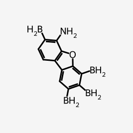 Bc1cc2c(oc3c(N)c(B)ccc32)c(B)c1B